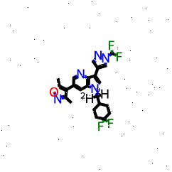 [2H]C([2H])(C1CCC(F)(F)CC1)n1cc(-c2cnn(C(F)F)c2)c2ncc(-c3c(C)noc3C)cc21